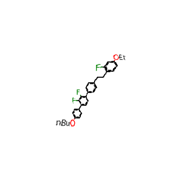 CCCCOc1ccc(-c2ccc(-c3ccc(CCc4ccc(OCC)cc4F)cc3)c(F)c2F)cc1